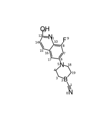 N#CB1CCN(c2cc(F)c3nc(O)ccc3c2)CC1